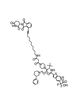 CC(C)(C)[C@H](NC(=O)c1cc2cc(C(F)(F)P(=O)(O)O)ccc2s1)C(=O)N1CCN(C(=O)CC(=O)NCCCCCCCCCC#Cc2cccc3c2C(=O)N(C2CCC(=O)NC2=O)C3=O)C[C@H]1C(=O)N1CCC[C@H](c2ccccc2)C1